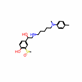 Cc1ccc(N(C)CCCCCNCC(O)c2ccc(O)c([S+](C)[O-])c2)cc1